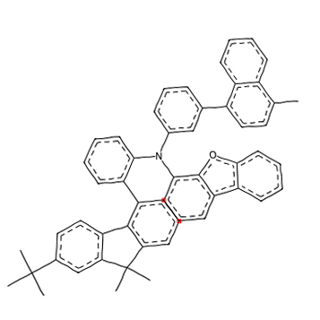 Cc1ccc(-c2cccc(N(c3ccccc3-c3cccc4c3-c3ccc(C(C)(C)C)cc3C4(C)C)c3cccc4c3oc3ccccc34)c2)c2ccccc12